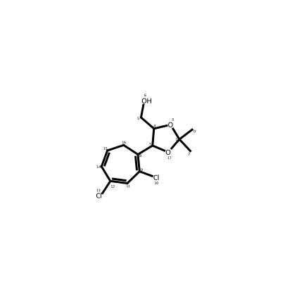 CC1(C)OC(CO)C(C2=C(Cl)C=C(Cl)C=CC2)O1